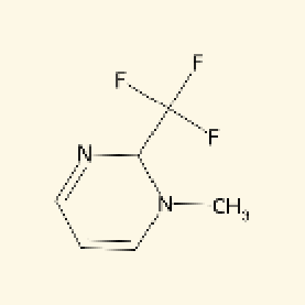 CN1C=CC=NC1C(F)(F)F